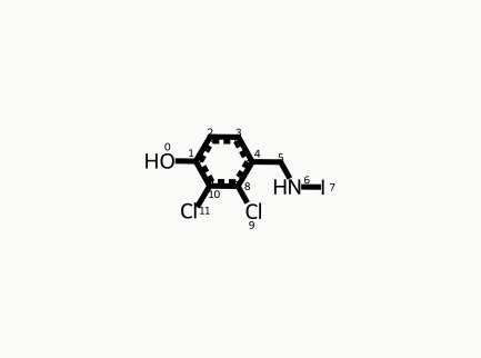 Oc1ccc(CNI)c(Cl)c1Cl